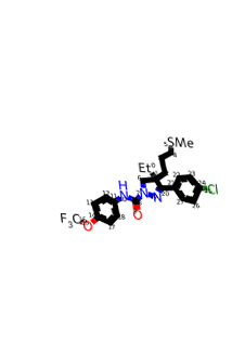 CCC1(CCCSC)CN(C(=O)Nc2ccc(OC(F)(F)F)cc2)N=C1c1ccc(Cl)cc1